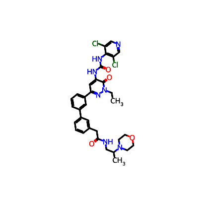 CCn1nc(-c2cccc(-c3cccc(CC(=O)NCC(C)N4CCOCC4)c3)c2)cc(NC(=O)Nc2c(Cl)cncc2Cl)c1=O